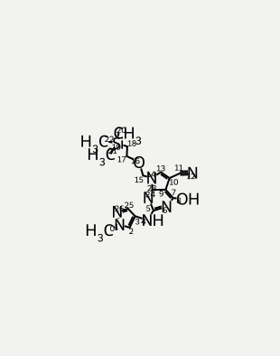 Cn1cc(Nc2nc(O)c3c(C#N)cn(COCC[Si](C)(C)C)c3n2)cn1